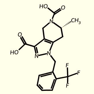 C[C@@H]1Cc2c(c(C(=O)O)nn2Cc2ccccc2C(F)(F)F)CN1C(=O)O